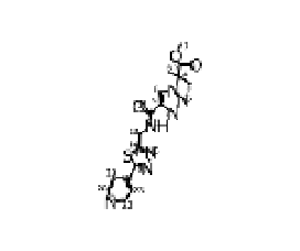 COC(=O)C(C)(C)n1cc(C(=O)NCc2nnc(-c3ccncc3)s2)nn1